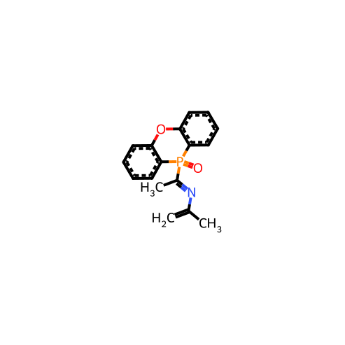 C=C(C)/N=C(\C)P1(=O)c2ccccc2Oc2ccccc21